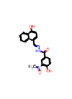 C[N+](=O)c1cc(C(=O)N/N=C/c2ccc(O)c3ccccc23)ccc1O